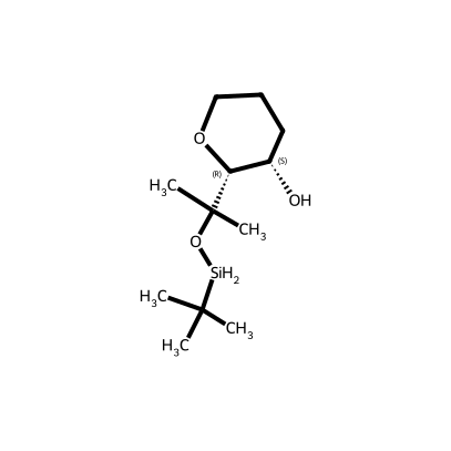 CC(C)(C)[SiH2]OC(C)(C)[C@@H]1OCCC[C@@H]1O